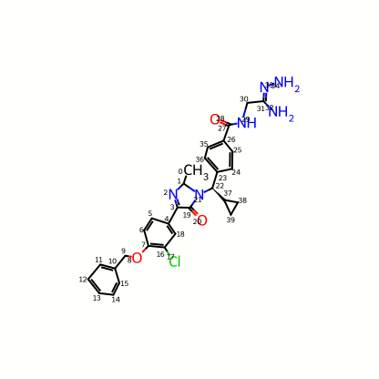 CC1N=C(c2ccc(OCc3ccccc3)c(Cl)c2)C(=O)N1[C@@H](c1ccc(C(=O)NC/C(N)=N/N)cc1)C1CC1